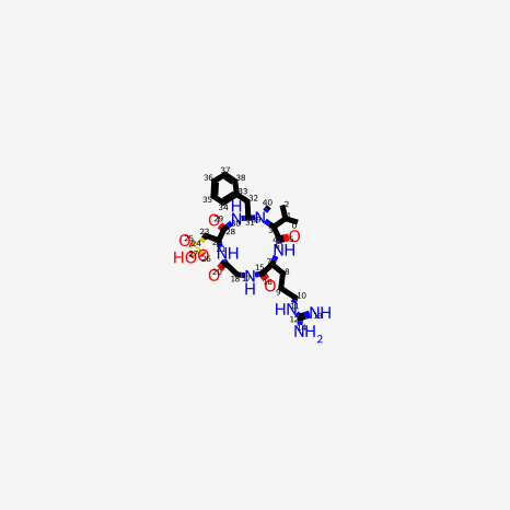 CC(C)C1C(=O)NC(CCCNC(=N)N)C(=O)NCC(=O)NC(CS(=O)(=O)O)C(=O)NC(Cc2ccccc2)N1C